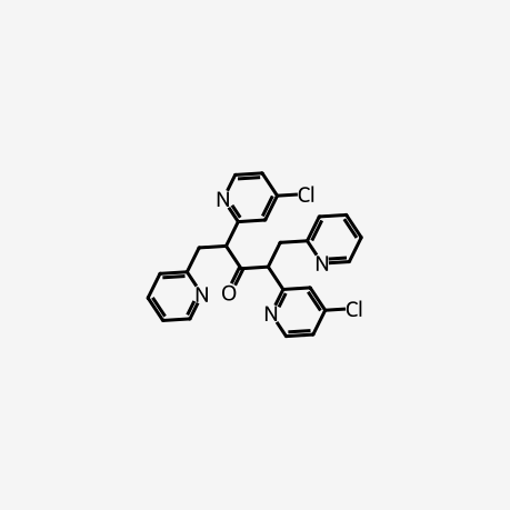 O=C(C(Cc1ccccn1)c1cc(Cl)ccn1)C(Cc1ccccn1)c1cc(Cl)ccn1